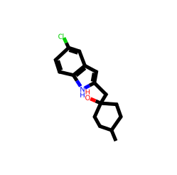 CC1CCC(O)(Cc2cc3cc(Cl)ccc3[nH]2)CC1